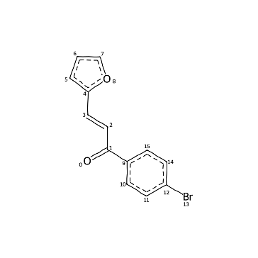 O=C(C=Cc1ccco1)c1ccc(Br)cc1